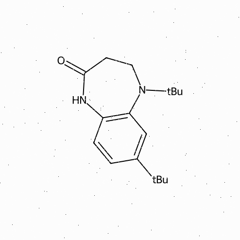 CC(C)(C)c1ccc2c(c1)N(C(C)(C)C)CCC(=O)N2